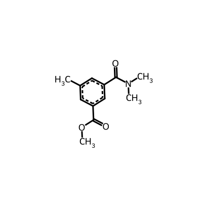 COC(=O)c1cc(C)cc(C(=O)N(C)C)c1